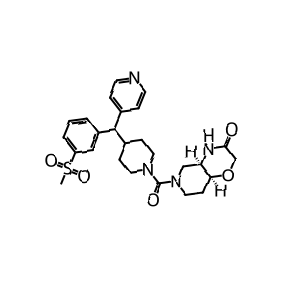 CS(=O)(=O)c1cccc(C(c2ccncc2)C2CCN(C(=O)N3CC[C@@H]4OCC(=O)N[C@@H]4C3)CC2)c1